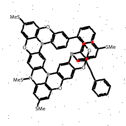 CSc1cc2c3c(c1)Oc1cc4c(cc1B3c1ccc(-c3ccccc3)cc1O2)B1c2cc3c(cc2N(SC)c2cc(SC)cc(c21)O4)Oc1cc(SC)cc2c1B3c1ccc(-c3ccccc3)cc1O2